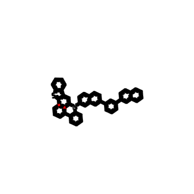 c1ccc(-c2ccccc2N(c2ccc3ccc(-c4cccc(-c5ccc6ccccc6c5)c4)cc3c2)c2ccc3sc4ccccc4c3c2)cc1